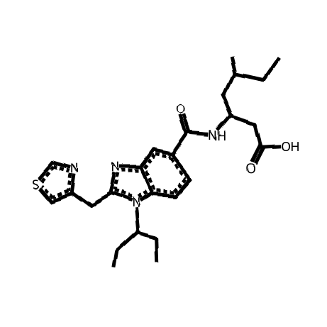 CCC(C)CC(CC(=O)O)NC(=O)c1ccc2c(c1)nc(Cc1cscn1)n2C(CC)CC